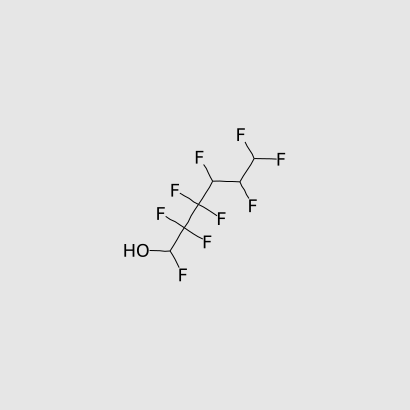 OC(F)C(F)(F)C(F)(F)C(F)C(F)C(F)F